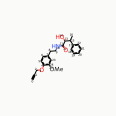 C#CCOc1ccc(CCNC(=O)C(O)C(C)c2ccccc2)cc1OC